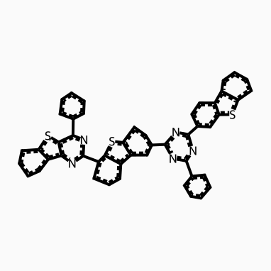 c1ccc(-c2nc(-c3ccc4c(c3)sc3ccccc34)nc(-c3ccc4sc5c(-c6nc(-c7ccccc7)c7sc8ccccc8c7n6)cccc5c4c3)n2)cc1